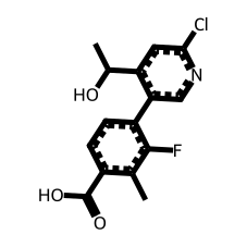 Cc1c(C(=O)O)ccc(-c2cnc(Cl)cc2C(C)O)c1F